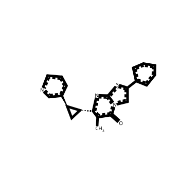 Cc1c([C@@H]2C[C@H]2c2cccnc2)nc2sc(-c3ccccc3)cn2c1=O